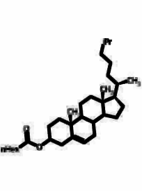 CCCCCCC(=O)OC1CC[C@@]2(C)C(=CCC3C2CC[C@@]2(C)C3CC[C@@H]2[C@H](C)CCCC(C)C)C1